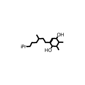 CC(C)CCCC(C)CCC1=CC(O)C(C)C(C)C1O